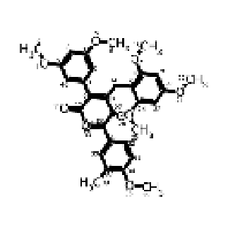 COc1cc(OC)cc(/C(C(=O)O)=C(\Cc2c(OC)cc(OC)cc2OC)C(=O)C(=O)c2ccc(OC)c(C)c2)c1